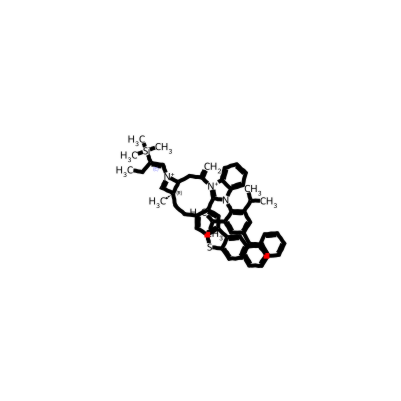 C=C1CC2[N+](/C=C(\CC)[Si](C)(C)C)=C[C@]2(C)CCc2cc3sc4ccc(-c5ccccc5)cc4c3cc2-c2n(-c3c(C(C)C)cc(-c4ccccc4)cc3C(C)C)c3ccccc3[n+]21